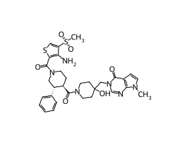 Cn1ccc2c(=O)n(CC3(O)CCN(C(=O)[C@@H]4CCN(C(=O)c5scc(S(C)(=O)=O)c5N)C[C@H]4c4ccccc4)CC3)cnc21